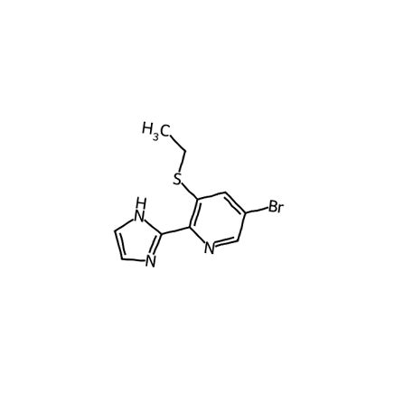 CCSc1cc(Br)cnc1-c1ncc[nH]1